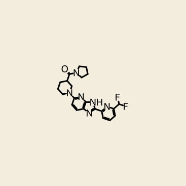 O=C(C1CCCN(c2ccc3nc(-c4cccc(C(F)F)n4)[nH]c3n2)C1)N1CCCC1